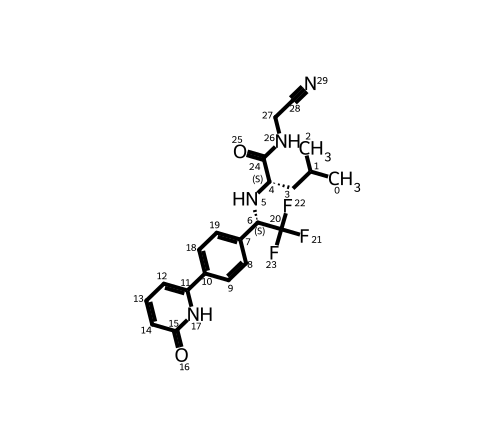 CC(C)C[C@H](N[C@@H](c1ccc(-c2cccc(=O)[nH]2)cc1)C(F)(F)F)C(=O)NCC#N